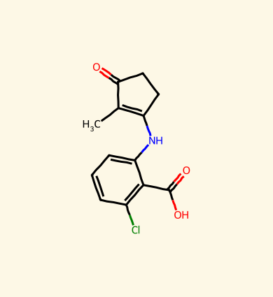 CC1=C(Nc2cccc(Cl)c2C(=O)O)CCC1=O